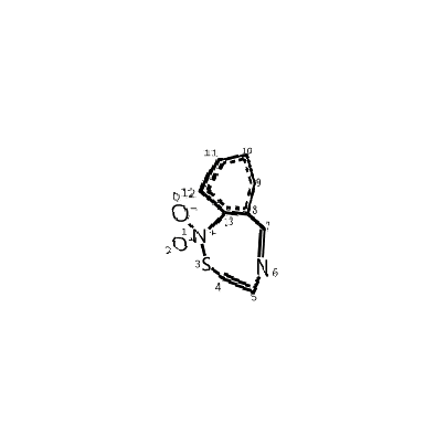 [O-][N+]1([O-])S/C=C\N=C/c2ccccc21